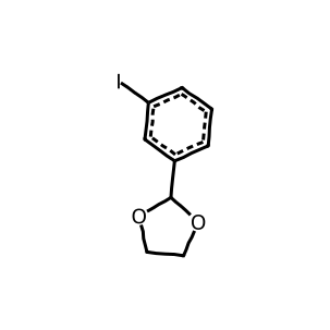 Ic1cccc(C2OCCO2)c1